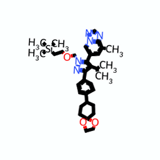 Cc1cc(-c2c(C(C)C)c(-c3ccc(C4CCC5(CC4)OCCO5)cc3)nn2COCC[Si](C)(C)C)cn2ncnc12